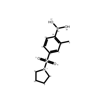 Cc1cc(S(=O)(=O)N2CCCC2)ccc1B(O)O